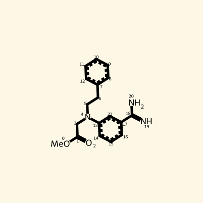 COC(=O)CN(CCc1ccccc1)c1cccc(C(=N)N)c1